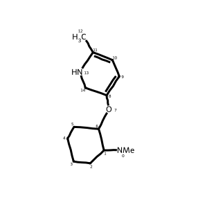 CNC1CCCCC1OC1=CC=C(C)NC1